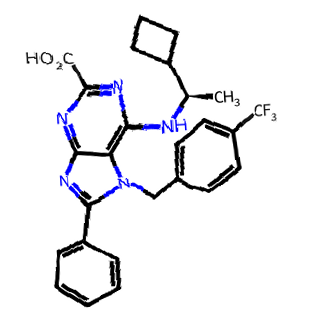 C[C@@H](Nc1nc(C(=O)O)nc2nc(-c3ccccc3)n(Cc3ccc(C(F)(F)F)cc3)c12)C1CCC1